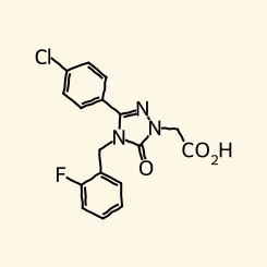 O=C(O)Cn1nc(-c2ccc(Cl)cc2)n(Cc2ccccc2F)c1=O